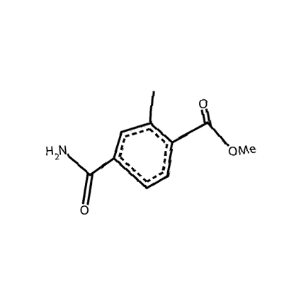 COC(=O)c1ccc(C(N)=O)cc1C